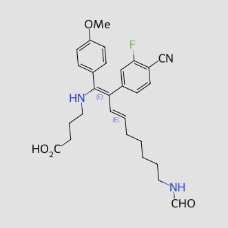 COc1ccc(/C(NCCCC(=O)O)=C(/C=C/CCCCCNC=O)c2ccc(C#N)c(F)c2)cc1